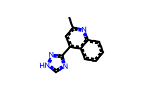 Cc1cc(-c2nc[nH]n2)c2ccccc2n1